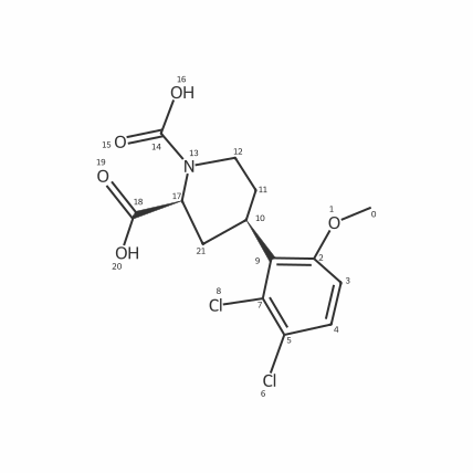 COc1ccc(Cl)c(Cl)c1[C@@H]1CCN(C(=O)O)[C@H](C(=O)O)C1